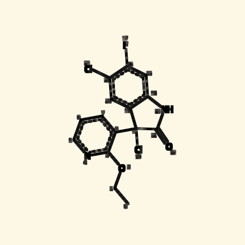 CCOc1ncccc1C1(Cl)C(=O)Nc2cc(F)c(Cl)cc21